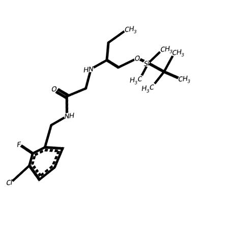 CCC(CO[Si](C)(C)C(C)(C)C)NCC(=O)NCc1cccc(Cl)c1F